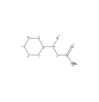 CC(C)(C)C(=O)CC(F)C1CCCCC1